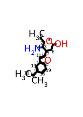 CCCC(N)C(CC(=O)O)c1cc2cc(C(C)C)ccc2o1